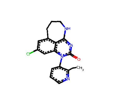 Cc1ncccc1-n1c(=O)nc2c3c(cc(Cl)cc31)CCCN2